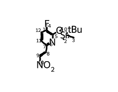 CC(C)(C)[Si](C)(C)Oc1nc(/C=C/[N+](=O)[O-])ccc1F